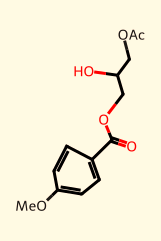 COc1ccc(C(=O)OCC(O)COC(C)=O)cc1